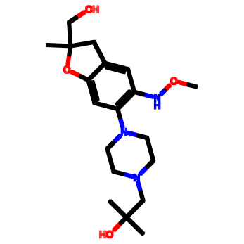 CONc1cc2c(cc1N1CCN(CC(C)(C)O)CC1)OC(C)(CO)C2